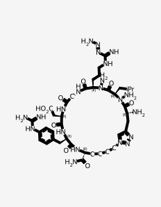 CC(C)C[C@@H]1C(=O)N(N)[C@H](CCCNC(=N)N=NN)C(=O)NCC(=O)N[C@H](CC(=O)O)C(=O)N[C@H](Cc2ccc(NC(=N)N)cc2)C(=O)N[C@@H](C(N)=O)CCCCn2cc(nn2)C[C@@H](N)C(=O)N1N